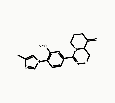 COc1cc(C2=NOCC3C(=O)CCCN23)ccc1-n1cnc(C)c1